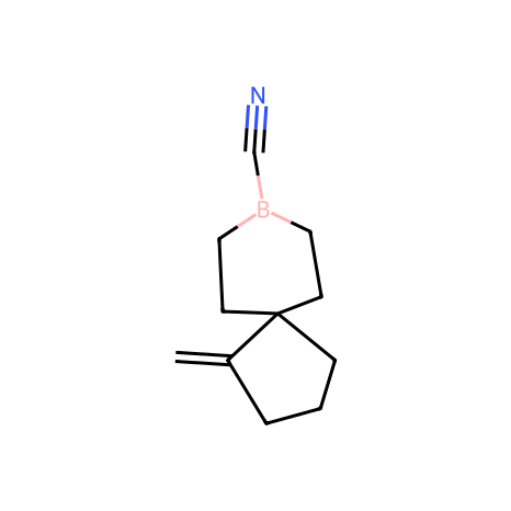 C=C1CCCC12CCB(C#N)CC2